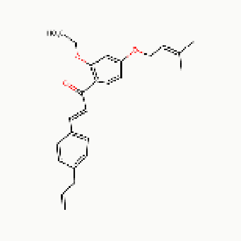 C=CCc1ccc(/C=C/C(=O)c2ccc(OCC=C(C)C)cc2OCC(=O)O)cc1